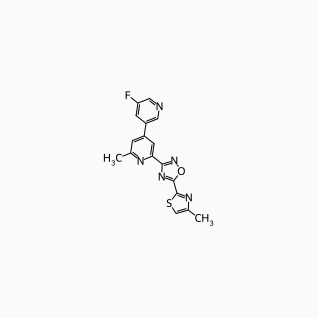 Cc1cc(-c2cncc(F)c2)cc(-c2noc(-c3nc(C)cs3)n2)n1